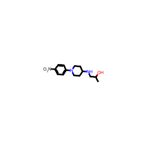 CC(O)CNC1CCN(c2ccc([N+](=O)[O-])cc2)CC1